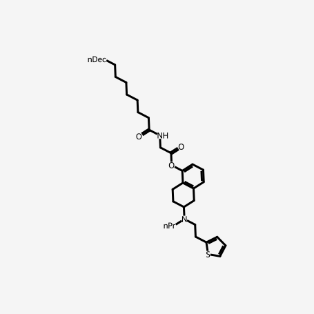 CCCCCCCCCCCCCCCCCC(=O)NCC(=O)Oc1cccc2c1CCC(N(CCC)CCc1cccs1)C2